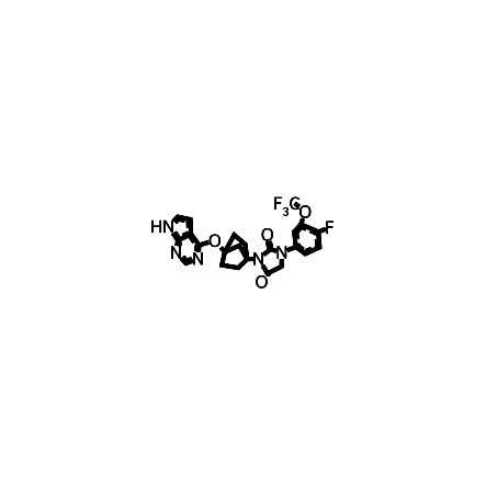 O=C1CN(c2ccc(F)c(OC(F)(F)F)c2)C(=O)N1C12CCC(Oc3ncnc4[nH]ccc34)(CC1)C2